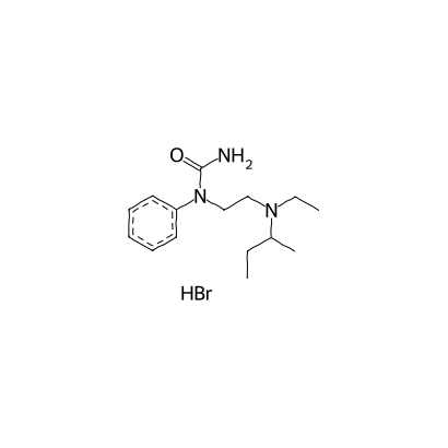 Br.CCC(C)N(CC)CCN(C(N)=O)c1ccccc1